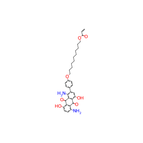 C=CC(=O)OCCCCCCCCCCCOc1ccc(-c2cc(O)c3c(c2N)C(=O)c2c(O)ccc(N)c2C3=O)cc1